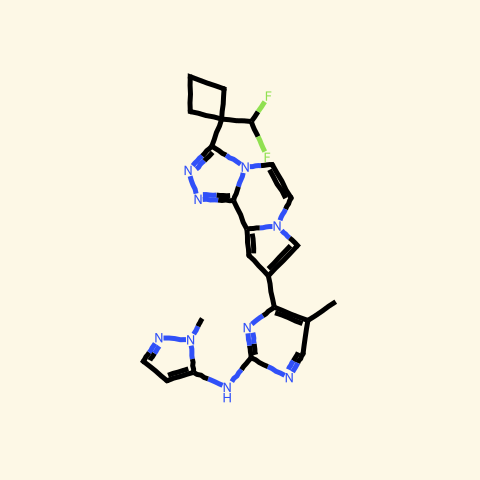 Cc1cnc(Nc2ccnn2C)nc1-c1cc2c3nnc(C4(C(F)F)CCC4)n3ccn2c1